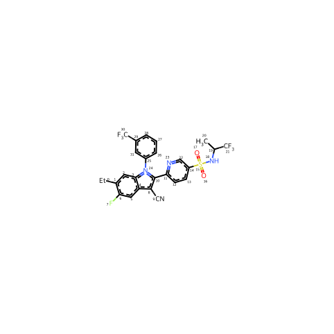 CCc1cc2c(cc1F)c(C#N)c(-c1ccc(S(=O)(=O)NC(C)C(F)(F)F)cn1)n2-c1cccc(C(F)(F)F)c1